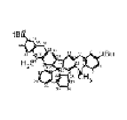 CN1c2ccc(C(C)(C)C)cc2Cc2cc3c(cc21)C(c1ccccc1)(c1ccccc1)c1cc2c(cc1-3)Cc1cc(C(C)(C)C)ccc1N2C